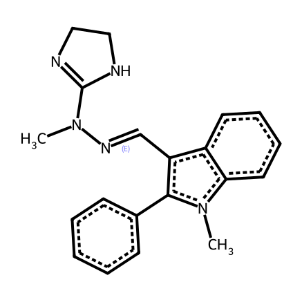 CN(/N=C/c1c(-c2ccccc2)n(C)c2ccccc12)C1=NCCN1